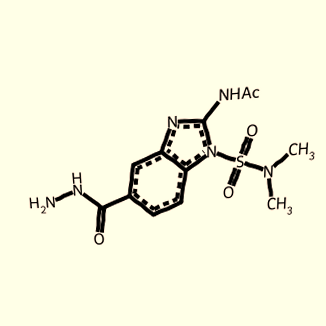 CC(=O)Nc1nc2cc(C(=O)NN)ccc2n1S(=O)(=O)N(C)C